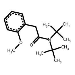 COc1ccccc1CC(=O)N(C(C)(C)C)C(C)(C)C